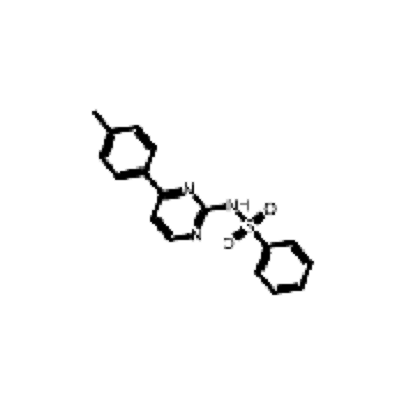 Cc1ccc(-c2ccnc(NS(=O)(=O)c3ccccc3)n2)cc1